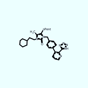 CCCCCc1c(C)n(CCC2CCCCC2)c(=O)n1Cc1ccc(-c2cccnc2-c2nnn[nH]2)cc1